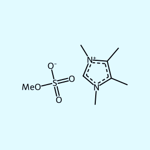 COS(=O)(=O)[O-].Cc1c(C)[n+](C)cn1C